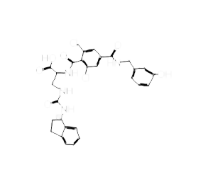 O=C(NCC(NC(=O)c1c(Cl)cc(C(=O)NCc2cccc(O)c2)cc1Cl)C(=O)O)N[C@@H]1CCc2ccccc21